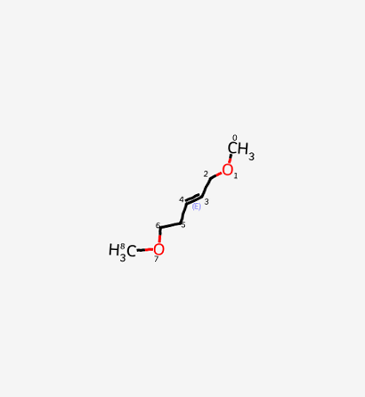 COC/C=C/CCOC